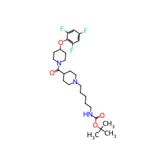 CC(C)(C)OC(=O)NCCCCCN1CCC(C(=O)N2CCC(Oc3c(F)cc(F)cc3F)CC2)CC1